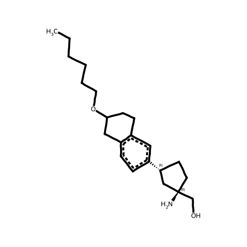 CCCCCCOC1CCc2cc([C@@H]3CC[C@](N)(CO)C3)ccc2C1